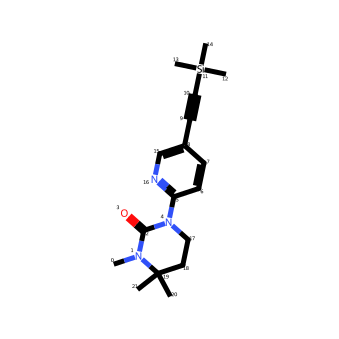 CN1C(=O)N(c2ccc(C#C[Si](C)(C)C)cn2)CCC1(C)C